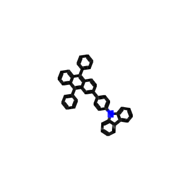 c1ccc(-c2c3ccccc3c(-c3ccccc3)c3cc(-c4ccc(-n5c6ccccc6c6ccccc65)cc4)ccc23)cc1